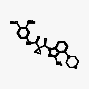 COc1ccc(NC(=O)C2(C(=O)n3nc(N)c4c(N5CCOCC5)cccc43)CC2)cc1OC